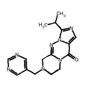 CC(C)c1ncc2c(=O)n3c(nn12)CN(Cc1cncnc1)CC3